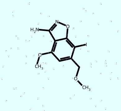 COCc1cc(OC)c2c(N)noc2c1I